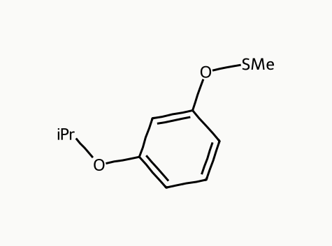 CSOc1cccc(OC(C)C)c1